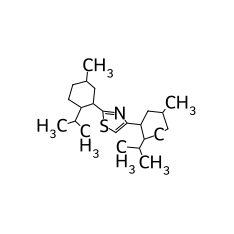 CC1CCC(C(C)C)C(c2csc(C3CC(C)CCC3C(C)C)n2)C1